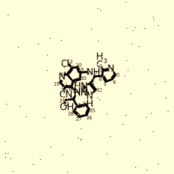 Cc1ncccc1[C@H](Nc1cc(Cl)c2ncc(C#N)c(NC(CO)c3ccccc3)c2c1)C1=CNNN1